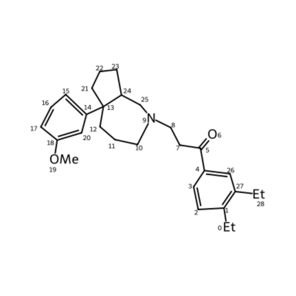 CCc1ccc(C(=O)CCN2CCCC3(c4cccc(OC)c4)CCCC3C2)cc1CC